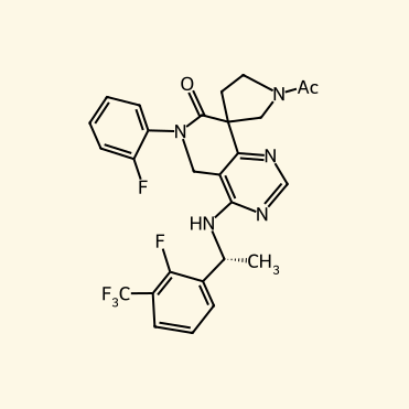 CC(=O)N1CCC2(C1)C(=O)N(c1ccccc1F)Cc1c(N[C@H](C)c3cccc(C(F)(F)F)c3F)ncnc12